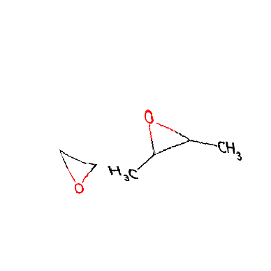 C1CO1.CC1OC1C